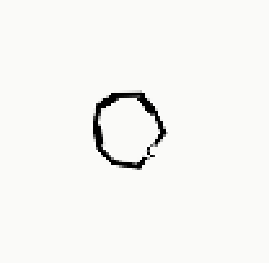 C1=CC=CCCCCC=C1